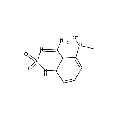 C[S+]([O-])C1=CC=CC2NS(=O)(=O)N=C(N)C12